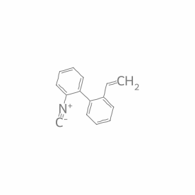 [C-]#[N+]c1ccccc1-c1ccccc1C=C